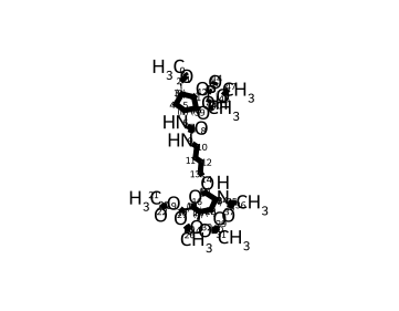 COC[C@H]1C[C@@H](NC(=O)NCCCCO[C@@H]2O[C@H](COC(C)=O)[C@H](OC(C)=O)[C@H](OC(C)=O)[C@H]2NC(C)=O)[C@@H](OC)C1OP(=O)(O)OC